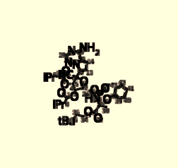 CC(C)C(=O)O[C@H]1[C@@H](OC(=O)C(C)C)[C@](C#N)(c2ccc3c(N)ncnn23)O[C@@H]1COP(=O)(N[C@@H](C)C(=O)OCCC(C)(C)C)Oc1ccccc1